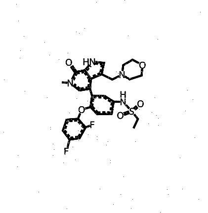 CCS(=O)(=O)Nc1ccc(Oc2ccc(F)cc2F)c(-c2cn(C)c(=O)c3[nH]cc(CN4CCOCC4)c23)c1